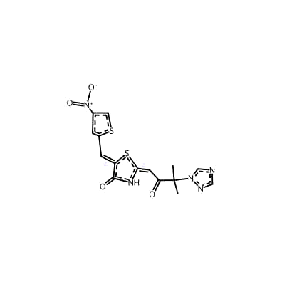 CC(C)(C(=O)/C=c1\[nH]c(=O)/c(=C/c2cc([N+](=O)[O-])cs2)s1)n1cncn1